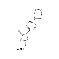 CC(=O)NCC1CN(c2ccc(C3=CCOCC3)cc2)C(=O)O1